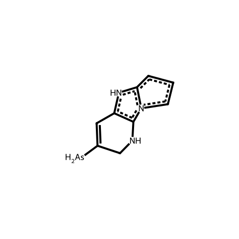 [AsH2]C1=Cc2[nH]c3cccn3c2NC1